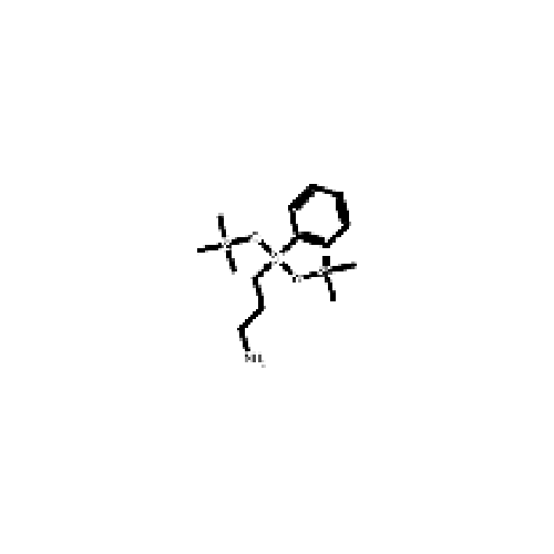 C[Si](C)(C)O[Si](CCCN)(O[Si](C)(C)C)c1ccccc1